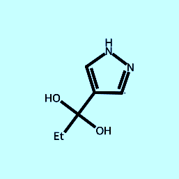 CCC(O)(O)c1[c]n[nH]c1